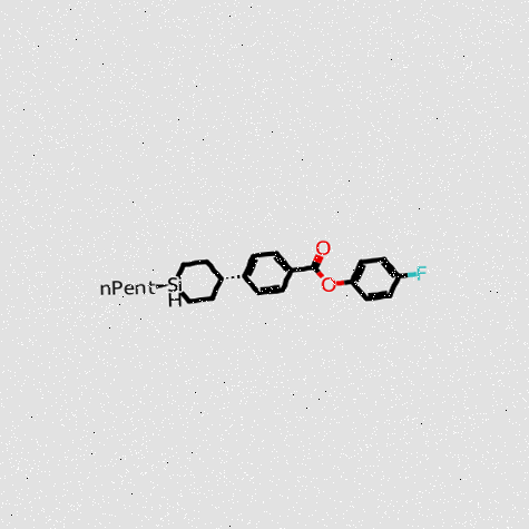 CCCCC[Si@H]1CC[C@H](c2ccc(C(=O)Oc3ccc(F)cc3)cc2)CC1